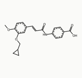 COc1ccc(/C=C/C(=O)Nc2ccc(C(=O)O)cc2)cc1OCC1CC1